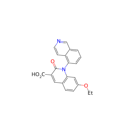 CCOc1ccc2cc(C(=O)O)c(=O)n(-c3cccc4cnccc34)c2c1